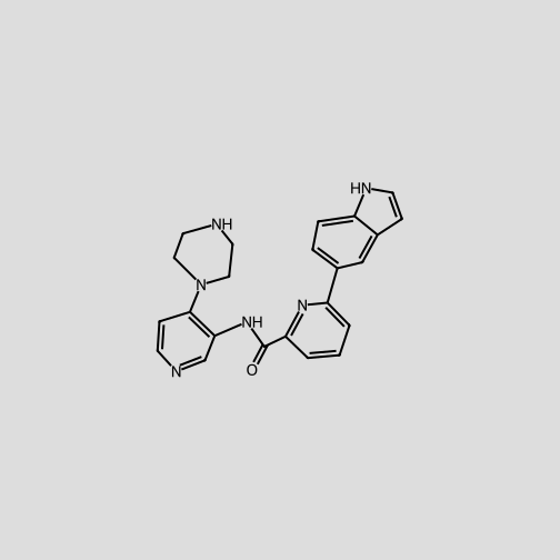 O=C(Nc1cnccc1N1CCNCC1)c1cccc(-c2ccc3[nH]ccc3c2)n1